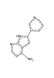 Nc1ccnc2[nH]c(-c3cccnc3)cc12